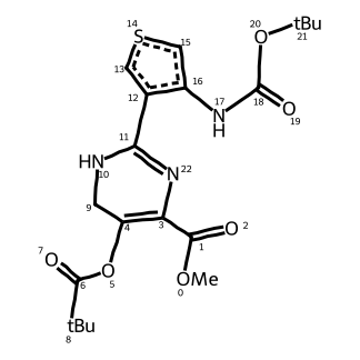 COC(=O)C1=C(OC(=O)C(C)(C)C)CNC(c2cscc2NC(=O)OC(C)(C)C)=N1